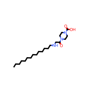 CCCCCCCCCCCCCCNCC(=O)N1CCN(C(=O)O)CC1